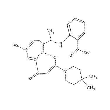 CC(Nc1ccccc1C(=O)O)c1cc(O)cc2c(=O)cc(N3CCC(C)(C)CC3)oc12